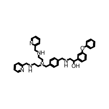 OC(CNCc1ccc(CN(CCNCc2ccccn2)CCNCc2ccccn2)cc1)c1cccc(Oc2ccccc2)c1